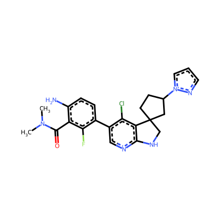 CN(C)C(=O)c1c(N)ccc(-c2cnc3c(c2Cl)C2(CCC(n4cccn4)C2)CN3)c1F